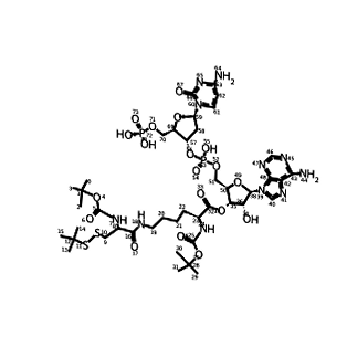 CC(C)(C)OC(=O)NC(CSSC(C)(C)C)C(=O)NCCCC[C@H](NC(=O)OC(C)(C)C)C(=O)O[C@H]1[C@@H](O)[C@H](n2cnc3c(N)ncnc32)O[C@@H]1COP(=O)(O)O[C@H]1C[C@H](n2ccc(N)nc2=O)O[C@@H]1COP(=O)(O)O